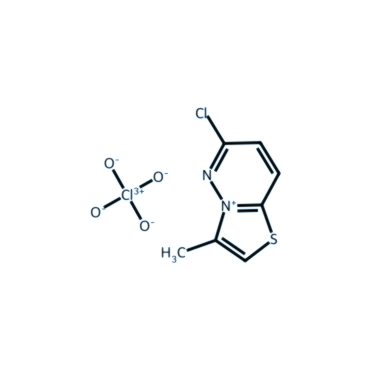 Cc1csc2ccc(Cl)n[n+]12.[O-][Cl+3]([O-])([O-])[O-]